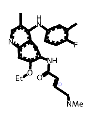 CCOc1cc2ncc(C)c(Nc3ccc(F)c(C)c3)c2cc1NC(=O)/C=C/CNC